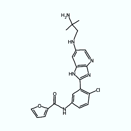 CC(C)(N)CNc1cnc2nc(-c3cc(NC(=O)c4ccco4)ccc3Cl)[nH]c2c1